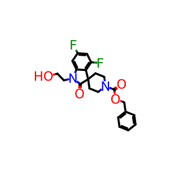 O=C(OCc1ccccc1)N1CCC2(CC1)C(=O)N(CCO)c1cc(F)cc(F)c12